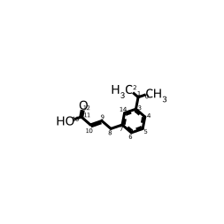 CC(C)c1cccc(C/C=C/C(=O)O)c1